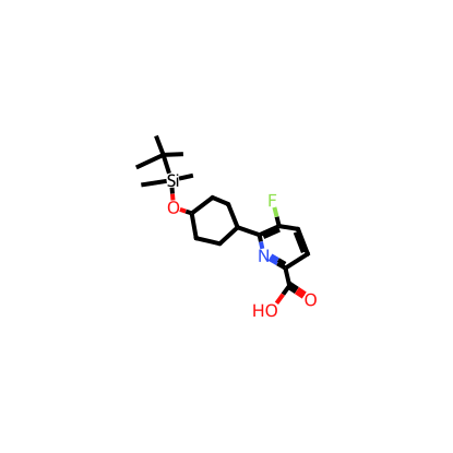 CC(C)(C)[Si](C)(C)OC1CCC(c2nc(C(=O)O)ccc2F)CC1